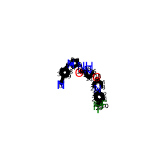 N#Cc1ccc(CN2CCC(NC(=O)c3ccc(OC4CCN(c5ccc(C(F)(F)F)cc5)CC4)cn3)C2)cc1